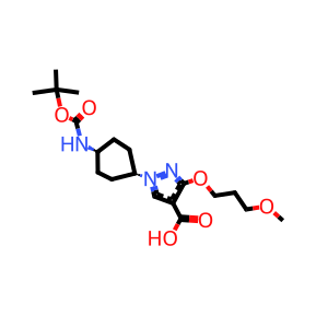 COCCCOc1nn([C@H]2CC[C@H](NC(=O)OC(C)(C)C)CC2)cc1C(=O)O